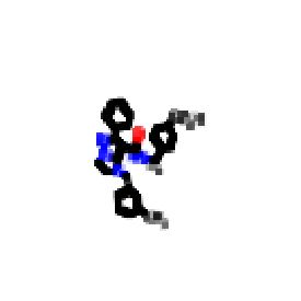 C[C@H](NC(=O)c1c(-c2ccccc2)nn2c1N(Cc1cccc(C(F)(F)F)c1)CC2)c1ccc(C(=O)O)cc1